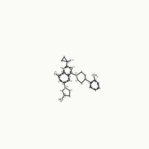 Cc1ccccc1C1CCN(c2nc(C3(F)CC3)nc3c(Cl)cc(N4CC[C@@H](O)C4)cc23)CC1